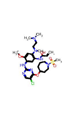 C=CC(O)Nc1cc(Nc2ncc(Cl)c(OC3CCCN(S(C)(=O)=O)CC3)n2)c(OC)cc1N(C)CCN(C)C